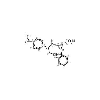 CCCOc1ccc([C@H](CO)NC2[C@H](C(=O)O)[C@H]2c2ccccc2)cn1